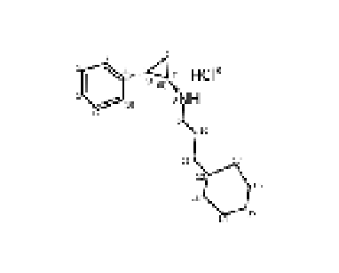 Cl.c1ccc([C@@H]2C[C@H]2NCCCC2CCCCC2)cc1